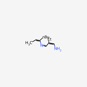 C\C=C(CCCC)/N=C\C(=C/N)CC